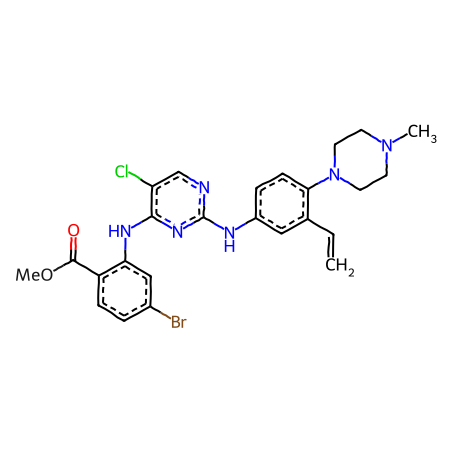 C=Cc1cc(Nc2ncc(Cl)c(Nc3cc(Br)ccc3C(=O)OC)n2)ccc1N1CCN(C)CC1